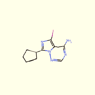 Nc1ncnn2c(C3CCCC3)nc(I)c12